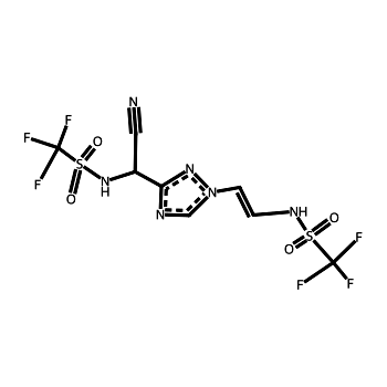 N#CC(NS(=O)(=O)C(F)(F)F)c1ncn(C=CNS(=O)(=O)C(F)(F)F)n1